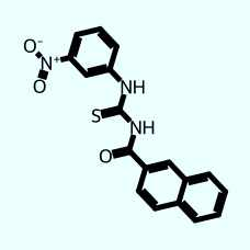 O=C(NC(=S)Nc1cccc([N+](=O)[O-])c1)c1ccc2ccccc2c1